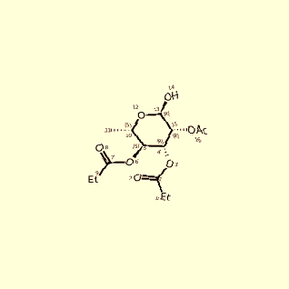 CCC(=O)O[C@@H]1[C@@H](OC(=O)CC)[C@H](C)O[C@@H](O)[C@@H]1OC(C)=O